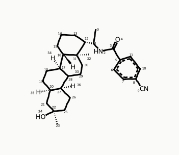 CC(NC(=O)c1ccc(C#N)cc1)[C@H]1CCC[C@H]2[C@@H]3CC[C@@H]4C[C@](C)(O)CC[C@@H]4C3CC[C@]12C